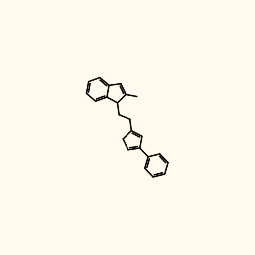 CC1=Cc2ccccc2C1CCC1=CC(c2ccccc2)=CC1